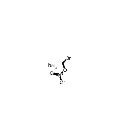 N.O=[N+]([O-])OCBr